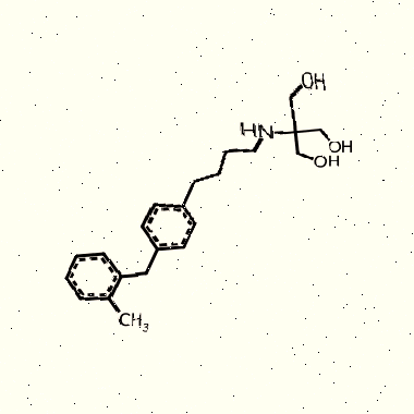 Cc1ccccc1Cc1ccc(CCCCNC(CO)(CO)CO)cc1